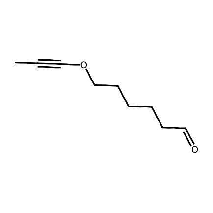 CC#COCCCCCC=O